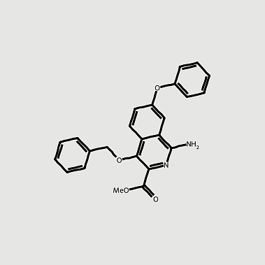 COC(=O)c1nc(N)c2cc(Oc3ccccc3)ccc2c1OCc1ccccc1